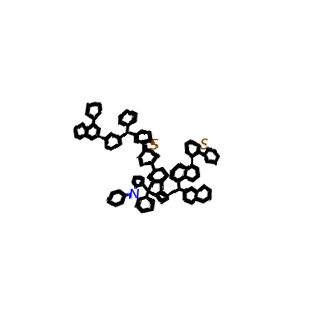 c1ccc(-c2cc(-c3cccc(C(c4ccccc4)c4ccc5sc6cc(-c7ccc8c(c7)C7(c9ccccc9N(c9ccccc9)c9ccccc97)c7cccc(C(c9ccc%10ccccc%10c9)c9cccc%10c(-c%11cccc%12sc%13ccccc%13c%11%12)cccc9%10)c7-8)ccc6c5c4)c3)cc3ccccc23)cc1